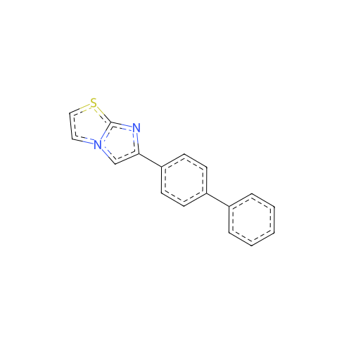 c1ccc(-c2ccc(-c3cn4ccsc4n3)cc2)cc1